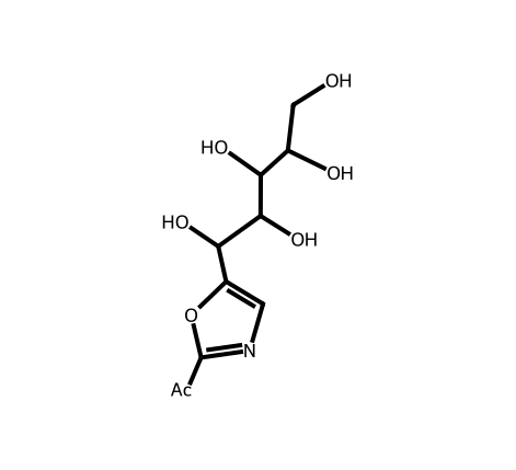 CC(=O)c1ncc(C(O)C(O)C(O)C(O)CO)o1